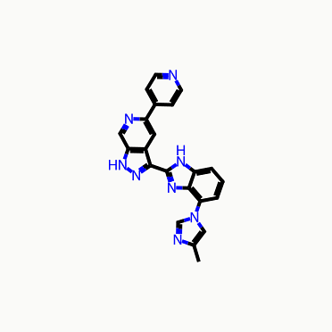 Cc1cn(-c2cccc3[nH]c(-c4n[nH]c5cnc(-c6ccncc6)cc45)nc23)cn1